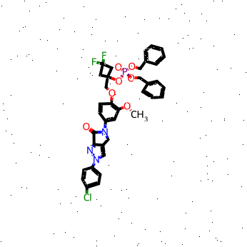 COc1cc(N2Cc3cn(-c4ccc(Cl)cc4)nc3C2=O)ccc1OCC1(OP(=O)(OCc2ccccc2)OCc2ccccc2)CC(F)(F)C1